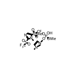 CN1C=CN(C)C1.COP(=O)(O)OC.Cn1c(S(=O)(=O)C(F)(F)F)cnc1S(=O)(=O)C(F)(F)F